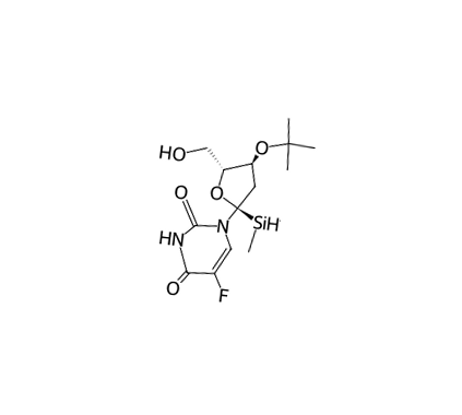 C[SiH](C)[C@]1(n2cc(F)c(=O)[nH]c2=O)C[C@H](OC(C)(C)C)[C@@H](CO)O1